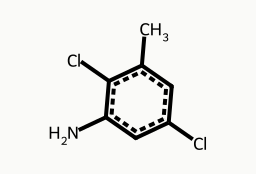 Cc1cc(Cl)cc(N)c1Cl